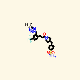 Cc1nnn(Cc2cc(C(F)(F)F)ccc2CCC(=O)N2CCC(Cc3ccc(S(N)(=O)=O)cc3)CC2)n1